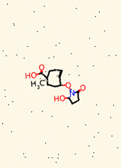 C[C@]1(C(=O)O)CC/C=C/[C@@H](ON2C(=O)CCC2O)CC1